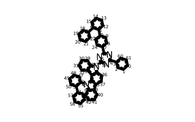 c1ccc(-c2nc(-c3ccc(-c4ccccc4-c4ccccc4)cc3)nc(-n3c4ccccc4c4c3ccc3c5ccccc5n(-c5ccccc5-c5ccccc5)c34)n2)cc1